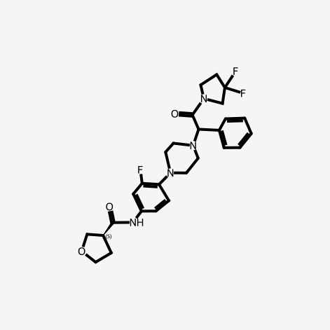 O=C(Nc1ccc(N2CCN(C(C(=O)N3CCC(F)(F)C3)c3ccccc3)CC2)c(F)c1)[C@H]1CCOC1